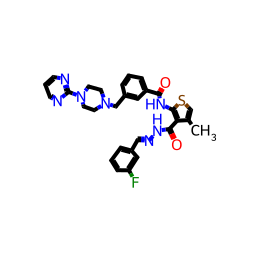 Cc1csc(NC(=O)c2cccc(CN3CCN(c4ncccn4)CC3)c2)c1C(=O)NN=Cc1cccc(F)c1